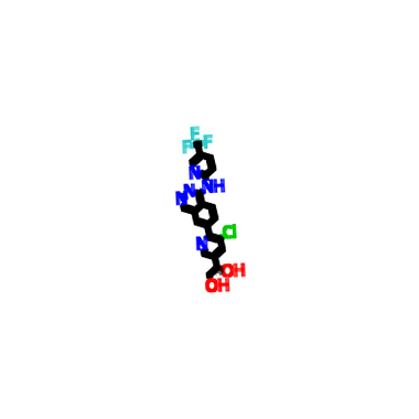 OC[C@H](O)c1cnc(-c2ccc3c(Nc4ccc(C(F)(F)F)cn4)nncc3c2)c(Cl)c1